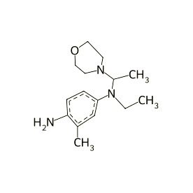 CCN(c1ccc(N)c(C)c1)C(C)N1CCOCC1